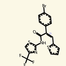 O=C(Nc1nc(C(F)(F)F)cs1)/C(=C\c1cccs1)c1ccc(Br)cc1